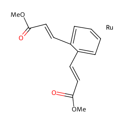 COC(=O)C=Cc1ccccc1C=CC(=O)OC.[Ru]